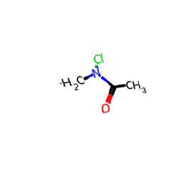 [CH2]N(Cl)C(C)=O